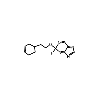 FC1(OCCC2CC=CCC2)N=CC2=NC=NC2=N1